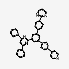 c1ccc(-c2cc(-c3ccccc3)nc(-c3cc(-c4ccc(-c5ccncc5)cc4)cc(-c4ccc(-c5ncccn5)cc4)c3)n2)cc1